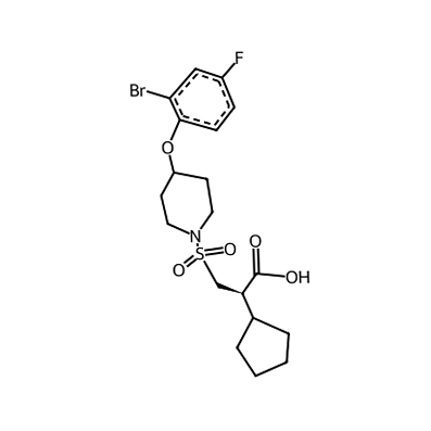 O=C(O)[C@H](CS(=O)(=O)N1CCC(Oc2ccc(F)cc2Br)CC1)C1CCCC1